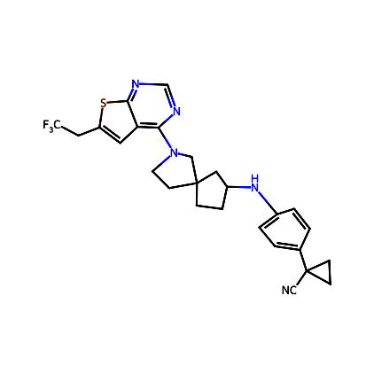 N#CC1(c2ccc(NC3CCC4(CCN(c5ncnc6sc(CC(F)(F)F)cc56)C4)C3)cc2)CC1